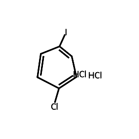 Cl.Cl.Clc1ccc(I)cc1